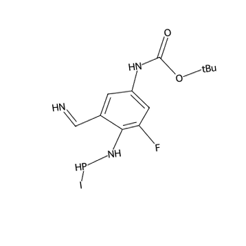 CC(C)(C)OC(=O)Nc1cc(F)c(NPI)c(C=N)c1